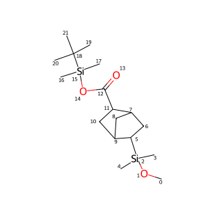 CO[Si](C)(C)C1CC2CC1CC2C(=O)O[Si](C)(C)C(C)(C)C